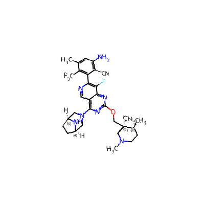 Cc1cc(N)c(C#N)c(-c2ncc3c(N4C[C@H]5CC[C@@H](C4)N5)nc(OC[C@]4(C)CN(C)CC[C@@H]4C)nc3c2F)c1C(F)(F)F